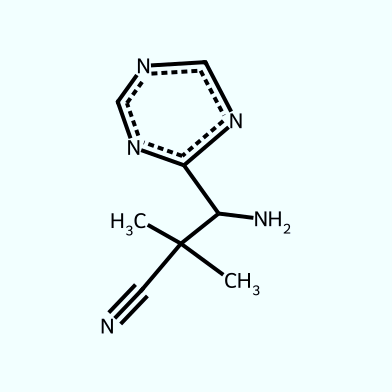 CC(C)(C#N)C(N)c1ncncn1